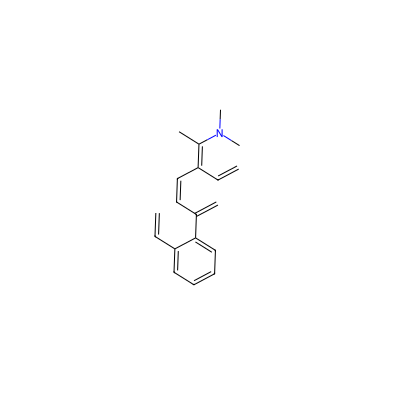 C=CC(/C=C\C(=C)c1ccccc1C=C)=C(/C)N(C)C